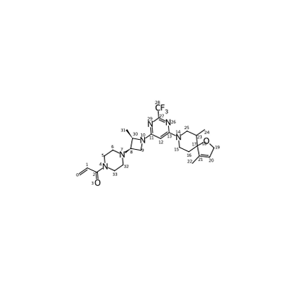 C=CC(=O)N1CCN([C@@H]2CN(c3cc(N4CCC5(OCC=C5C)C(C)C4)nc(C(F)(F)F)n3)[C@@H]2C)CC1